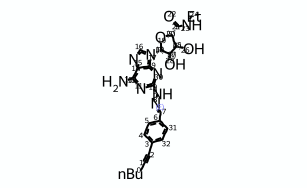 CCCCC#Cc1ccc(/C=N/Nc2nc(N)c3ncn([C@@H]4O[C@H](C(=O)NCC)[C@@H](O)[C@H]4O)c3n2)cc1